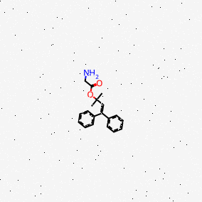 CC(C)(C=C(c1ccccc1)c1ccccc1)OC(=O)CN